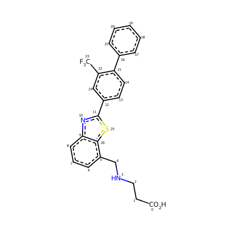 O=C(O)CCNCc1cccc2nc(-c3ccc(-c4ccccc4)c(C(F)(F)F)c3)sc12